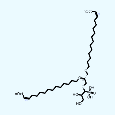 CCCCCCCC/C=C\CCCCCCCCCCCCOC[C@H](COC(C(O)CO)P(=O)(O)O)OCCCCCCCCCCCC/C=C\CCCCCCCC